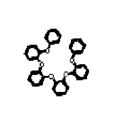 c1ccc(Oc2ccccc2Oc2ccccc2Oc2ccccc2Oc2ccccc2Oc2ccccc2)cc1